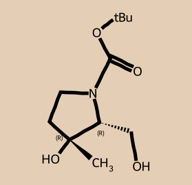 CC(C)(C)OC(=O)N1CC[C@@](C)(O)[C@H]1CO